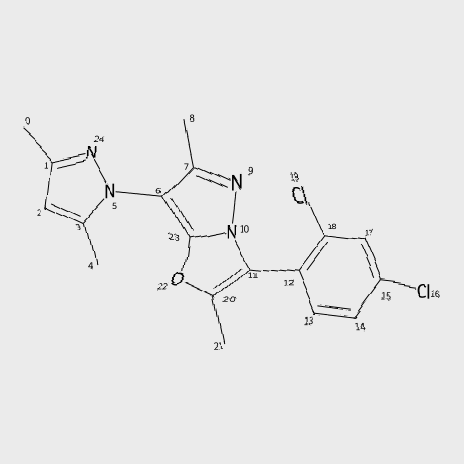 Cc1cc(C)n(-c2c(C)nn3c(-c4ccc(Cl)cc4Cl)c(C)oc23)n1